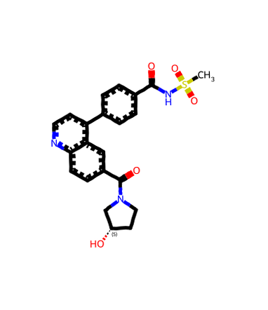 CS(=O)(=O)NC(=O)c1ccc(-c2ccnc3ccc(C(=O)N4CC[C@H](O)C4)cc23)cc1